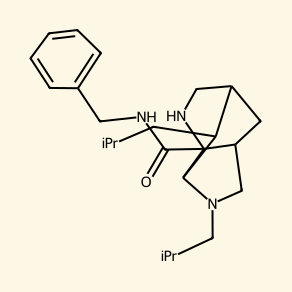 CC(C)CC1C2CNC3(C(=O)NCc4ccccc4)C(C2)CN(CC(C)C)C13